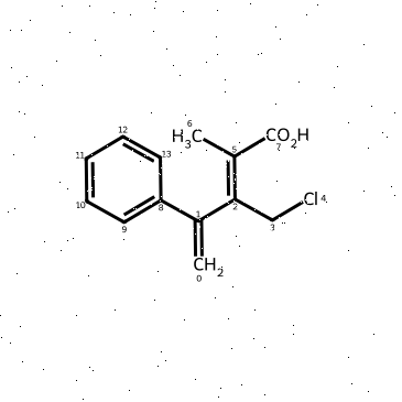 C=C(C(CCl)=C(C)C(=O)O)c1ccccc1